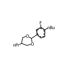 CCCCc1ccc(C2OCC(CCC)CO2)cc1F